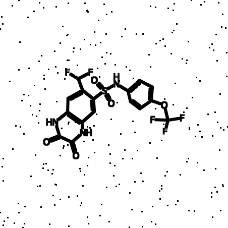 O=c1[nH]c2cc(C(F)F)c(S(=O)(=O)Nc3ccc(OC(F)(F)F)cc3)cc2[nH]c1=O